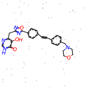 O=c1[nH]cnc(Cc2noc(-c3ccc(C#Cc4ccc(CN5CCOCC5)cc4)cc3)n2)c1O